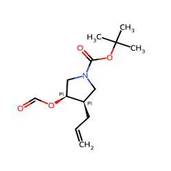 C=CC[C@@H]1CN(C(=O)OC(C)(C)C)C[C@@H]1OC=O